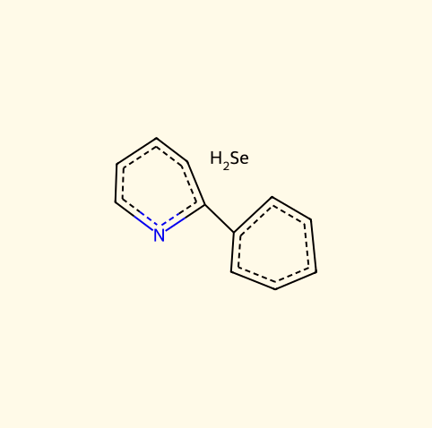 [SeH2].c1ccc(-c2ccccn2)cc1